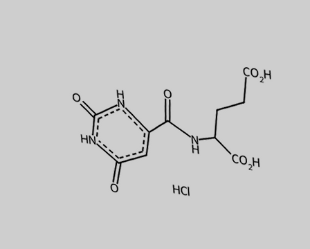 Cl.O=C(O)CCC(NC(=O)c1cc(=O)[nH]c(=O)[nH]1)C(=O)O